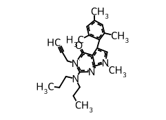 C#CCn1c(N(CCC)CCC)nc2c(c(-c3c(C)cc(C)cc3C)cn2C)c1=O